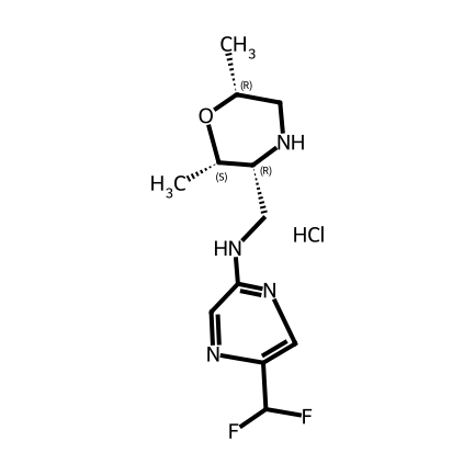 C[C@@H]1CN[C@H](CNc2cnc(C(F)F)cn2)[C@H](C)O1.Cl